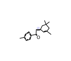 CC1=C/C(=C\C(=O)c2ccc(C)cc2)CC(C)(C)C1